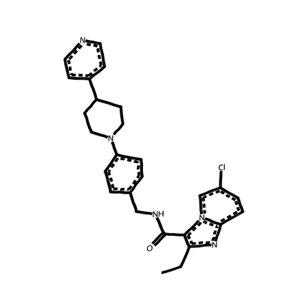 CCc1nc2ccc(Cl)cn2c1C(=O)NCc1ccc(N2CCC(c3ccncc3)CC2)cc1